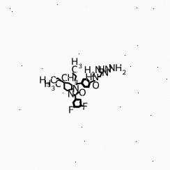 CCCC[C@H](c1ccc(C(=O)NC/C(N)=N/NN)cc1)N1C(=O)C(c2cc(F)cc(F)c2)=NC12CCC(C(C)(C)CC)CC2